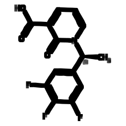 C[C@@H](c1cc(F)c(F)c(F)c1)n1cccc(C(=O)O)c1=O